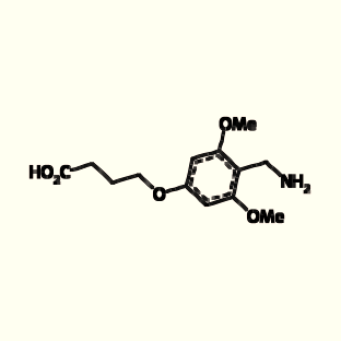 COc1cc(OCCCC(=O)O)cc(OC)c1CN